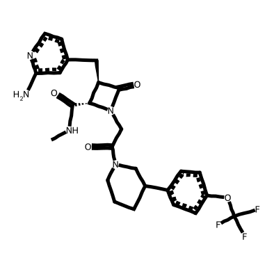 CNC(=O)[C@@H]1[C@@H](Cc2ccnc(N)c2)C(=O)N1CC(=O)N1CCCC(c2ccc(OC(F)(F)F)cc2)C1